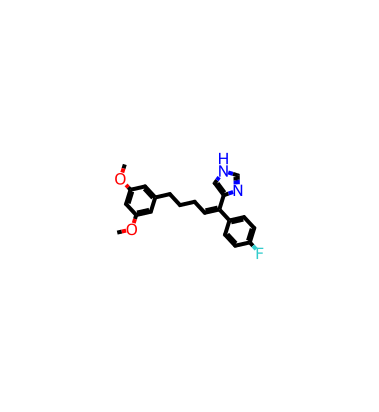 COc1cc(CCCC=C(c2ccc(F)cc2)c2c[nH]cn2)cc(OC)c1